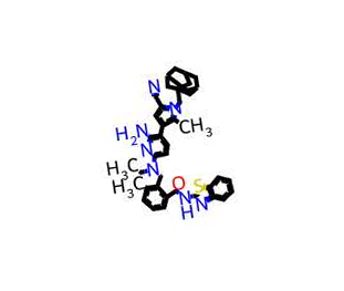 CCN(Cc1c(C)cccc1C(=O)Nc1nc2ccccc2s1)c1ccc(-c2cc(C#N)n(CC34CC5CC(CC(C5)C3)C4)c2C)c(N)n1